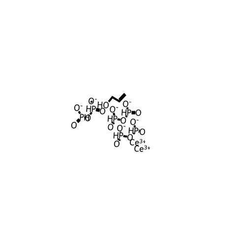 C=CCO.O=[PH]([O-])O[PH](=O)[O-].O=[PH]([O-])O[PH](=O)[O-].O=[PH]([O-])O[PH](=O)[O-].[Ce+3].[Ce+3]